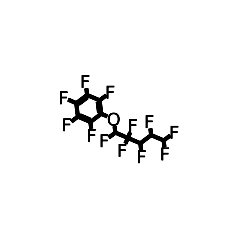 Fc1c(F)c(F)c(OC(F)C(F)(F)C(F)C(F)C(F)F)c(F)c1F